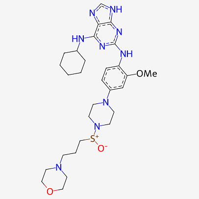 COc1cc(N2CCN([S+]([O-])CCCN3CCOCC3)CC2)ccc1Nc1nc(NC2CCCCC2)c2nc[nH]c2n1